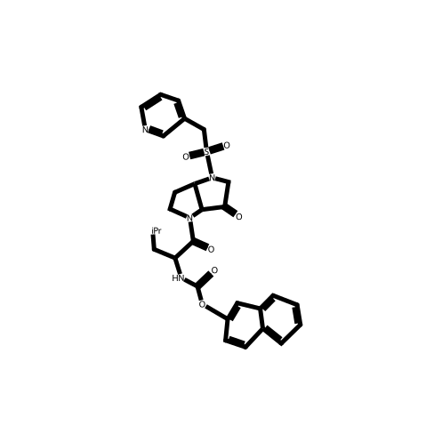 CC(C)CC(NC(=O)Oc1ccc2ccccc2c1)C(=O)N1CCC2C1C(=O)CN2S(=O)(=O)Cc1cccnc1